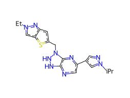 CCn1cc2sc(CN3NNc4ncc(-c5cnn(C(C)C)c5)nc43)cc2n1